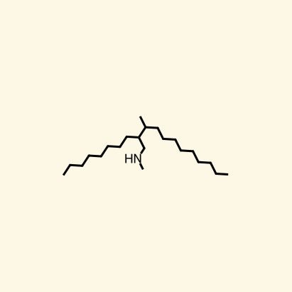 CCCCCCCCCC(C)C(CCCCCCCC)CNC